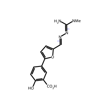 CN/C(N)=N/N=C/c1ccc(-c2ccc(O)c(C(=O)O)c2)o1